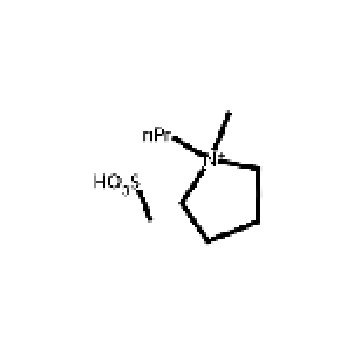 CCC[N+]1(C)CCCC1.CS(=O)(=O)O